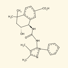 Cc1nn(-c2ccccc2)c(NC(=O)N[C@@H]2c3cc(C(=O)O)ccc3C(C)(C)C[C@H]2O)c1C